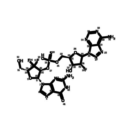 Nc1nc2c(ncn2[C@@H]2O[C@H](CO)C(F)(F)[C@H]2OP(O)(=S)OC[C@H]2OC(n3nnc4c(N)ncnc43)[C@@H](F)[C@@H]2O)c(=O)[nH]1